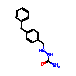 NC(=O)NNCc1ccc(Cc2ccccc2)cc1